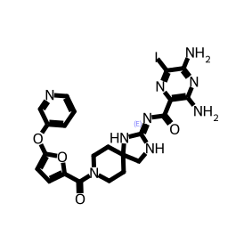 Nc1nc(N)c(C(=O)/N=C2\NCC3(CCN(C(=O)c4ccc(Oc5cccnc5)o4)CC3)N2)nc1I